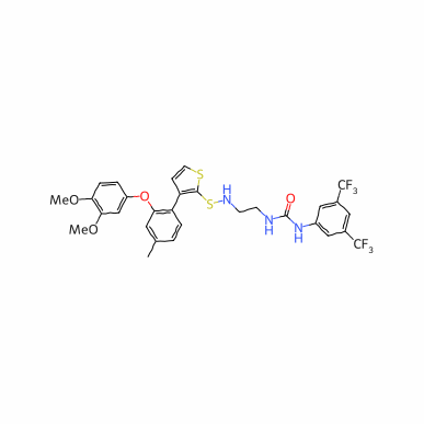 COc1ccc(Oc2cc(C)ccc2-c2ccsc2SNCCNC(=O)Nc2cc(C(F)(F)F)cc(C(F)(F)F)c2)cc1OC